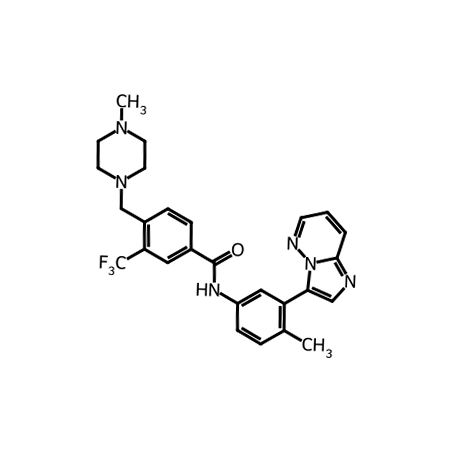 Cc1ccc(NC(=O)c2ccc(CN3CCN(C)CC3)c(C(F)(F)F)c2)cc1-c1cnc2cccnn12